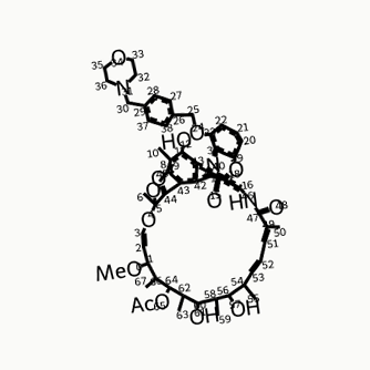 COC1C=COC2(C)Oc3c(C)c(O)c4c(=O)c(c5oc6cccc(OCc7ccc(CN8CCOCC8)cc7)c6nc-5c4c3C2=O)NC(=O)C(C)=CC=CC(C)C(O)C(C)C(O)C(C)C(OC(C)=O)C1C